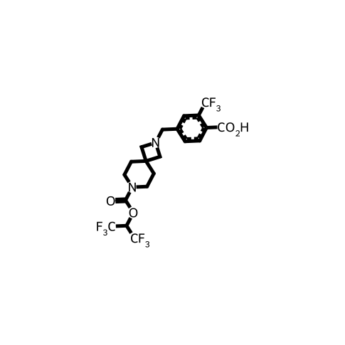 O=C(O)c1ccc(CN2CC3(CCN(C(=O)OC(C(F)(F)F)C(F)(F)F)CC3)C2)cc1C(F)(F)F